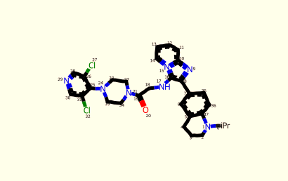 CC(C)N1CCCc2cc(-c3nc4ccccn4c3NCC(=O)N3CCN(c4c(Cl)cncc4Cl)CC3)ccc21